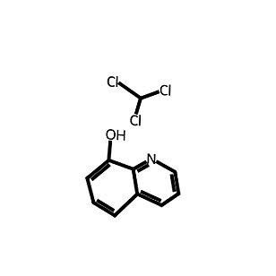 ClC(Cl)Cl.Oc1cccc2cccnc12